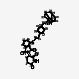 O=C1CCC(N2C(=O)c3cccc(SCCc4ccc(CNC56CC7CC(CC(C7)C5)C6)cc4)c3C2=O)C(=O)N1